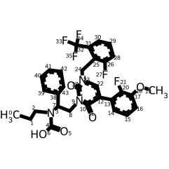 CCCN(C(=O)O)C(Cn1c(=O)c(-c2cccc(OC)c2F)cn(Cc2c(F)cccc2C(F)(F)F)c1=O)c1ccccc1